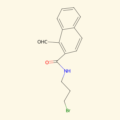 O=Cc1c(C(=O)NCCCBr)ccc2ccccc12